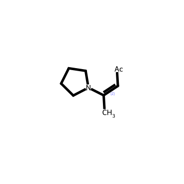 CC(=O)/C=C(/C)N1CCCC1